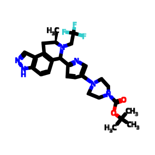 C[C@@H]1Cc2c(ccc3[nH]ncc23)C(c2ccc(N3CCN(C(=O)OC(C)(C)C)CC3)cn2)N1CC(F)(F)F